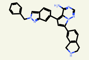 Nc1ncnn2c(-c3ccc4c(c3)CNCC4)cc(-c3ccc4cn(Cc5ccccc5)nc4c3)c12